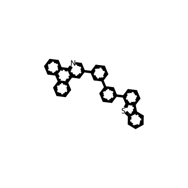 c1cc(-c2cccc(-c3cccc4c3sc3ccccc34)c2)cc(-c2cnc3c4ccccc4c4ccccc4c3c2)c1